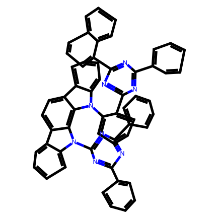 c1ccc(-c2nc(-c3ccccc3-n3c4ccccc4c4ccc5c6ccccc6n(-c6nc(-c7ccccc7)nc(-c7ccccc7)n6)c5c43)nc(-c3cccc4ccccc34)n2)cc1